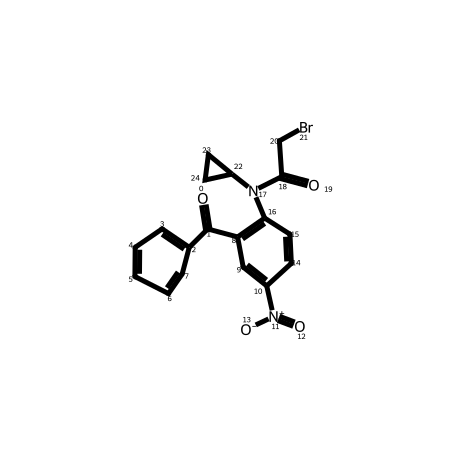 O=C(c1ccccc1)c1cc([N+](=O)[O-])ccc1N(C(=O)CBr)C1CC1